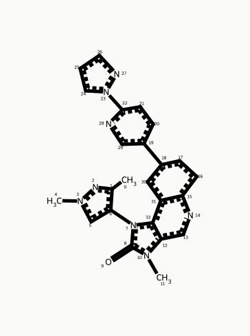 Cc1nn(C)cc1-n1c(=O)n(C)c2cnc3ccc(-c4ccc(-n5cccn5)nc4)cc3c21